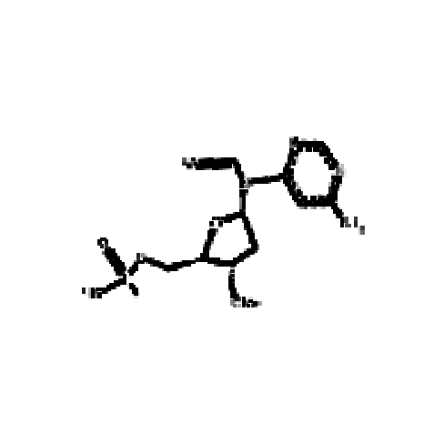 CO[C@@H]1C[C@H](N(C=N)c2cc(N)ncn2)O[C@@H]1COP(C)(=O)S